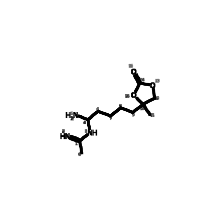 CC(=N)NC(N)CCCCC1(C)COC(=O)O1